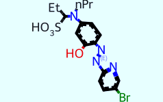 CCCN(c1ccc(/N=N/c2ccc(Br)cn2)c(O)c1)C(CC)S(=O)(=O)O